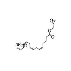 CCCCC/C=C\C/C=C\C/C=C\C/C=C\CCCC(=O)OC[C@@H]1CO1